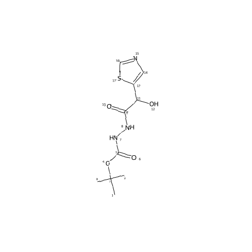 CC(C)(C)OC(=O)NNC(=O)C(O)c1cncs1